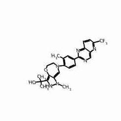 Cc1cc(-c2ncc3nc(C(F)(F)F)ccc3n2)ccc1N1C=C2C(=C(C(C)(C)O)NN2C)OCC1